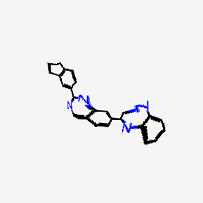 c1ccc2nc(-c3ccc4cnc(-c5ccc6c(c5)CCC6)nc4c3)cnc2c1